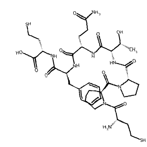 C[C@@H](O)[C@H](NC(=O)[C@@H]1CCCN1C(=O)[C@@H]1CCCN1C(=O)[C@@H](N)CCS)C(=O)N[C@@H](CCC(N)=O)C(=O)N[C@@H](Cc1ccccc1)C(=O)N[C@@H](CCS)C(=O)O